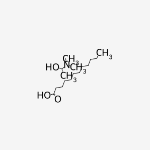 CC(O)N(C)C.CCCCCCCCCCCC(=O)O